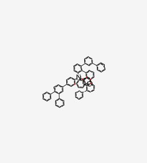 c1ccc(-c2cccc(-c3cccc(N(c4ccc(-c5ccc(-c6ccccc6)c(-c6ccccc6)c5)cc4)c4ccc5cccc(-c6ccccc6)c5c4)c3-c3cccc4oc5ccccc5c34)c2)cc1